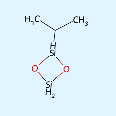 CC(C)[SiH]1O[SiH2]O1